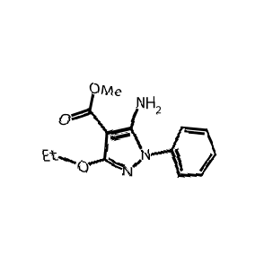 CCOc1nn(-c2ccccc2)c(N)c1C(=O)OC